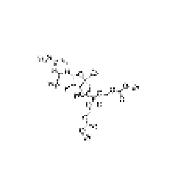 C=C1N=C(N)C=CN1[C@@H]1O[C@@](COP(=O)(OCOC(=O)OC(C)C)OCOC(=O)OC(C)C)(C2CC2)[C@@H](O)[C@H]1F